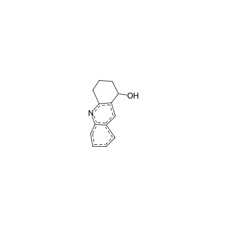 OC1CCCc2nc3ccccc3cc21